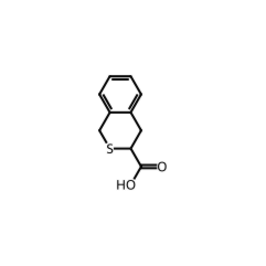 O=C(O)C1Cc2ccccc2CS1